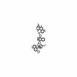 CCC1CN(C[C@@H](COc2nnc(OCC(c3ccnc4ccc(OC)cc34)[C@H]3CC4CCN3CC4CC)c3ccccc23)c2ccnc3ccc(OC)cc23)CCC1I